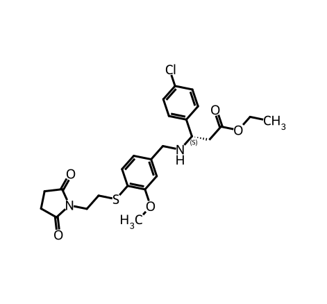 CCOC(=O)C[C@H](NCc1ccc(SCCN2C(=O)CCC2=O)c(OC)c1)c1ccc(Cl)cc1